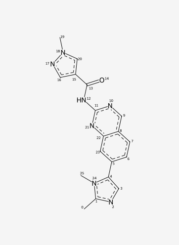 Cc1ncc(-c2ccc3cnc(NC(=O)c4cnn(C)c4)nc3c2)n1C